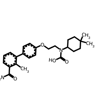 Cc1c(C(N)=O)cccc1-c1ccc(OCCN(C(=O)O)C2CCC(C)(C)CC2)cc1